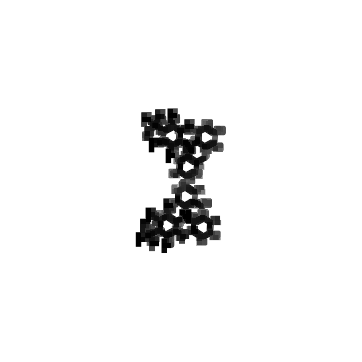 Cc1cc(-c2ccc(N(c3ccccc3)c3c(F)c(F)c(C(F)(F)F)c(F)c3F)c(C)c2)ccc1N(c1ccccc1)c1c(F)c(F)c(C(F)(F)F)c(F)c1F